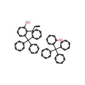 C=CCc1c(O)cccc1C(c1ccccc1)(c1ccccc1)c1ccccc1.Oc1ccccc1C(c1ccccc1)(c1ccccc1)c1ccccc1